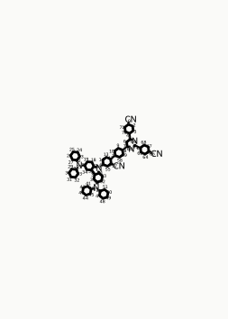 N#Cc1ccc(-c2cc(-c3ccc(-c4ccc(-n5c6ccc(N(c7ccccc7)c7ccccc7)cc6c6cc(N(c7ccccc7)c7ccccc7)ccc65)cc4C#N)cc3)nc(-c3ccc(C#N)cc3)n2)cc1